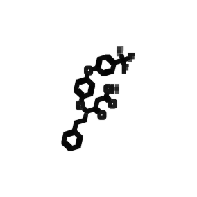 O=C(O)CC(=O)[C@@H](CCc1ccccc1)Oc1ccc(Oc2ccc(C(F)(F)F)cc2)cc1